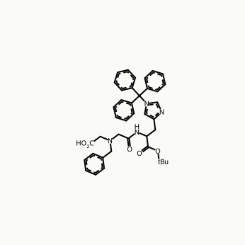 CC(C)(C)OC(=O)C(Cc1cn(C(c2ccccc2)(c2ccccc2)c2ccccc2)cn1)NC(=O)CN(CC(=O)O)Cc1ccccc1